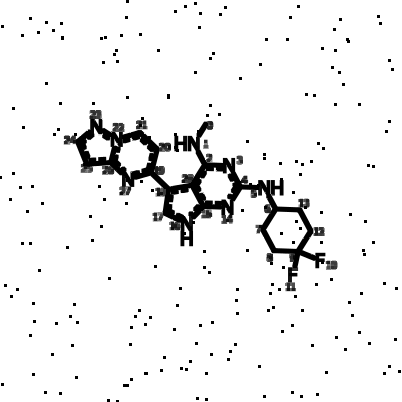 CNc1nc(NC2CCC(F)(F)CC2)nc2[nH]cc(-c3ccn4nccc4n3)c12